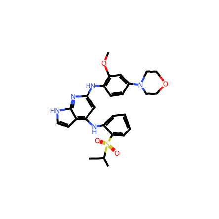 COc1cc(N2CCOCC2)ccc1Nc1cc(Nc2ccccc2S(=O)(=O)C(C)C)c2cc[nH]c2n1